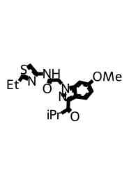 CCc1nc(NC(=O)Cn2nc(C(=O)C(C)C)c3ccc(OC)cc32)cs1